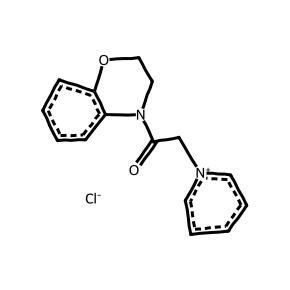 O=C(C[n+]1ccccc1)N1CCOc2ccccc21.[Cl-]